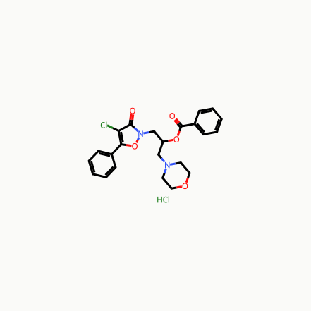 Cl.O=C(OC(CN1CCOCC1)Cn1oc(-c2ccccc2)c(Cl)c1=O)c1ccccc1